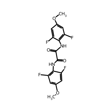 COc1cc(F)c(NC(=O)C(=O)Nc2c(F)cc(OC)cc2F)c(F)c1